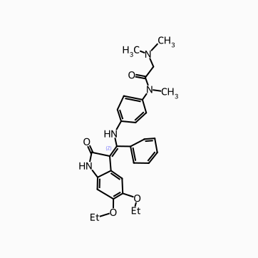 CCOc1cc2c(cc1OCC)/C(=C(/Nc1ccc(N(C)C(=O)CN(C)C)cc1)c1ccccc1)C(=O)N2